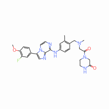 COc1ccc(-c2cnc3c(Nc4ccc(CN(C)CC(=O)N5CCNC(=O)C5)c(C)c4)nccn23)cc1F